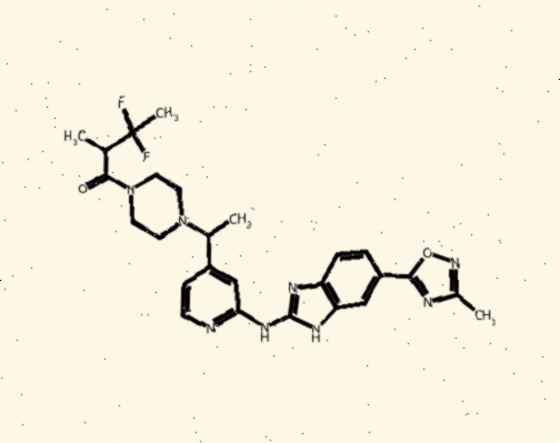 Cc1noc(-c2ccc3nc(Nc4cc(C(C)N5CCN(C(=O)C(C)C(C)(F)F)CC5)ccn4)[nH]c3c2)n1